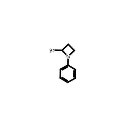 BrC1CCN1c1ccccc1